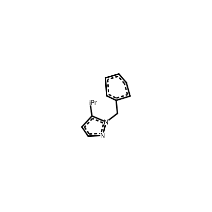 CC(C)c1ccnn1Cc1ccccc1